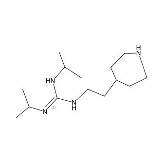 CC(C)/N=C(/NCCC1CCNCC1)NC(C)C